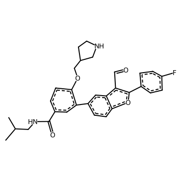 CC(C)CNC(=O)c1ccc(OCC2CCNC2)c(-c2ccc3oc(-c4ccc(F)cc4)c(C=O)c3c2)c1